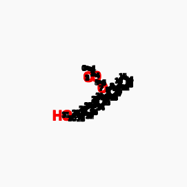 C=CC(=O)OCCOc1cc(C2CCCCC2)ccc1-c1ccc(-c2ccc(CCCO)cc2)cc1